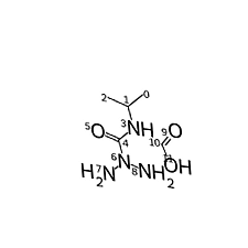 CC(C)NC(=O)N(N)N.O=CO